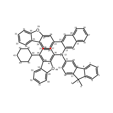 CC1(C)c2ccccc2-c2cc(N(c3cc4ccccc4cc3-c3ccc4c(c3)oc3ccccc34)c3ccc(C4CCCCC4)c4c3oc3ccccc34)ccc21